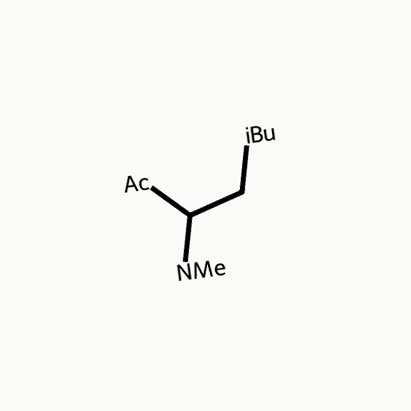 CCC(C)CC(NC)C(C)=O